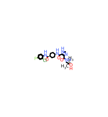 CC(C)(O)CNC(=O)c1nc[nH]c1C(=O)N[C@H]1CC[C@H](C(=O)Nc2ccc(F)cc2Cl)CC1